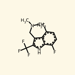 Cc1ccc(F)c2[nH]c(C(F)(F)F)c(CN(C)C)c12